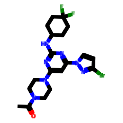 CC(=O)N1CCN(c2cc(-n3ccc(Br)n3)nc(NC3CCC(F)(F)CC3)n2)CC1